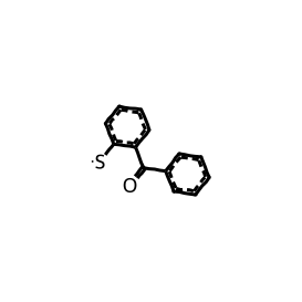 O=C(c1ccccc1)c1ccccc1[S]